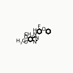 COc1cc2ncnc(Nc3ccc(Oc4ccccc4)c(F)c3)c2cc1OC